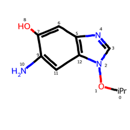 CC(C)On1cnc2cc(O)c(N)cc21